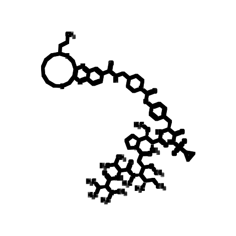 CCCC1CCCCCCSCc2nc3ccc(C(=O)NCC4CCN(C(=O)Oc5ccc(C[C@H](NC(=O)[C@H](C)[C@@H](OC)[C@@H]6CCCN6C(=O)C[C@@H](OC)[C@H]([C@@H](C)CC)N(C)C(=O)[C@@H](NC(=O)[C@H](C(C)C)N(C)C)C(C)C)C(=O)NS(=O)(=O)C6CC6)cc5)CC4)cc3nc2CS1